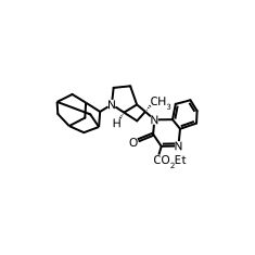 CCOC(=O)c1nc2ccccc2n([C@@]2(C)C[C@@H]3C2CCN3C2C3CC4CC(C3)CC2C4)c1=O